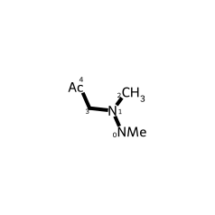 CNN(C)CC(C)=O